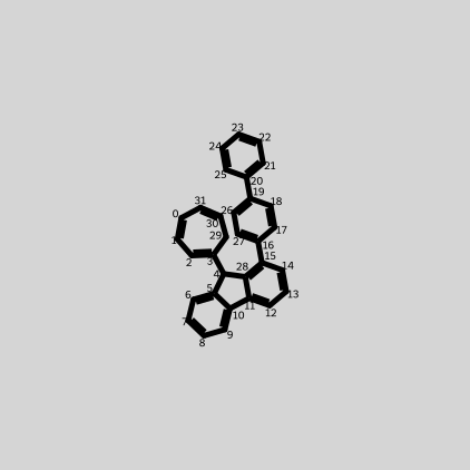 C1=CC=C(C2c3ccccc3-c3cccc(-c4ccc(-c5ccccc5)cc4)c32)CC=C1